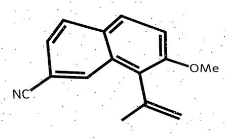 C=C(C)c1c(OC)ccc2ccc(C#N)cc12